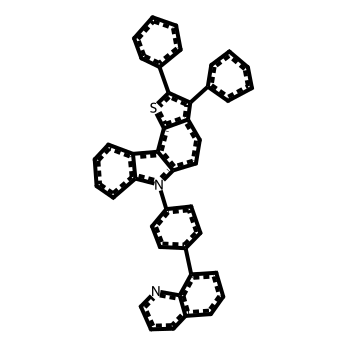 c1ccc(-c2sc3c(ccc4c3c3ccccc3n4-c3ccc(-c4cccc5cccnc45)cc3)c2-c2ccccc2)cc1